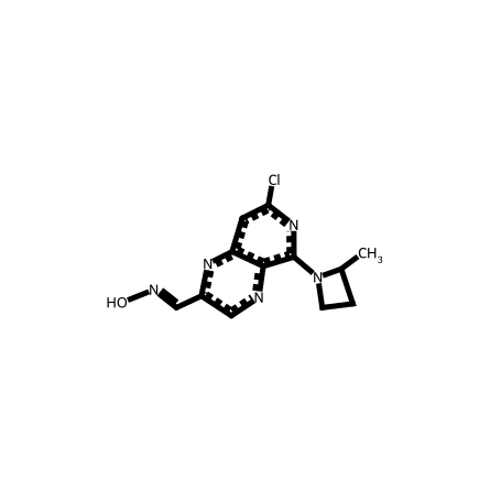 CC1CCN1c1nc(Cl)cc2nc(C=NO)cnc12